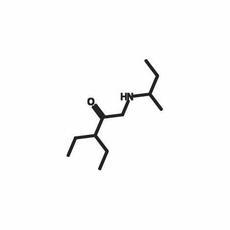 CCC(C)NCC(=O)C(CC)CC